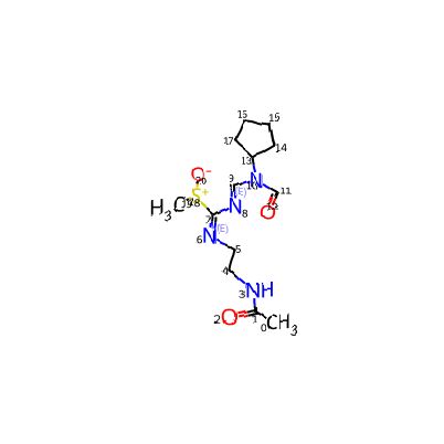 CC(=O)NCC/N=C(\N=C\N(C=O)C1CCCC1)[S+](C)[O-]